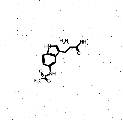 NC(=O)[C@@H](N)Cc1c[nH]c2ccc(NS(=O)(=O)C(F)(F)F)cc12